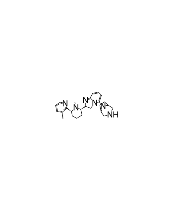 Cc1cccnc1[C@@H]1CCC[C@H](C2CN3C(N4C5CCC4CNC5)=CC=CC3=N2)N1C